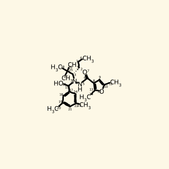 CCC[C@H](N(NC(=O)c1cc(C)oc1C)C(O)c1cc(C)cc(C)c1)C(C)(C)C